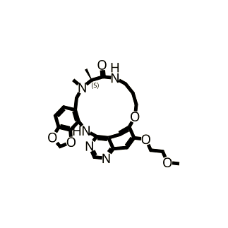 COCCOc1cc2ncnc3c2cc1OCCCNC(=O)[C@H](C)N(C)Cc1ccc2c(c1N3)OCO2